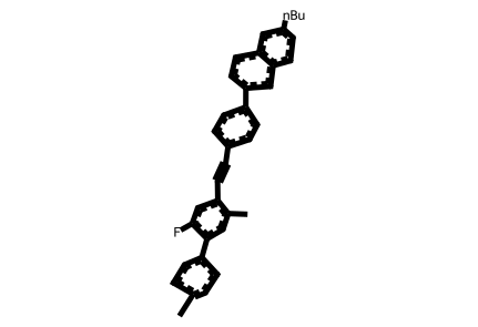 CCCCc1ccc2cc(-c3ccc(C#Cc4cc(F)c(-c5ccc(C)cc5)cc4C)cc3)ccc2c1